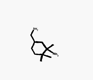 CC1(C)CCC(CN)CC1(C)N